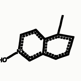 Cc1cccc2c[n+](O)ccc12